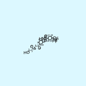 O=C(CCO)SCC(=O)c1ccc(NS(=O)(=O)c2ccc(OC(F)(F)F)cc2)cc1